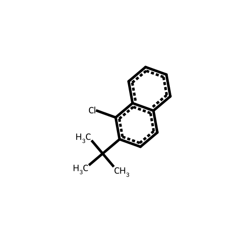 CC(C)(C)c1ccc2ccccc2c1Cl